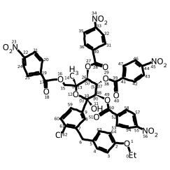 CCOc1ccc(Cc2cc([C@]3(O)O[C@](C)(COC(=O)c4ccc([N+](=O)[O-])cc4)[C@@H](OC(=O)c4ccc([N+](=O)[O-])cc4)[C@H](OC(=O)c4ccc([N+](=O)[O-])cc4)[C@H]3OC(=O)c3ccc([N+](=O)[O-])cc3)ccc2Cl)cc1